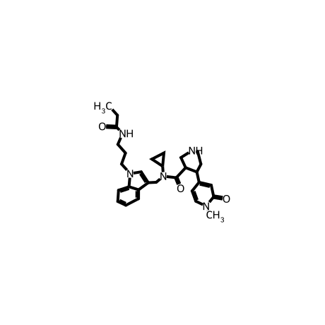 CCC(=O)NCCCn1cc(CN(C(=O)C2CNCCC2c2ccn(C)c(=O)c2)C2CC2)c2ccccc21